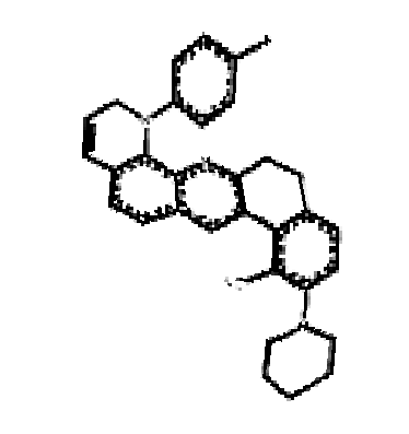 N#Cc1c(N2CCCCC2)ccc2c1-c1cc3ccc4c(c3nc1CC2)N(c1ccc(Br)cc1)CC=C4